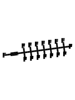 FC#CC(F)(F)C(F)(F)C(F)(F)C(F)(F)C(F)(F)C(F)(F)C(F)(F)F